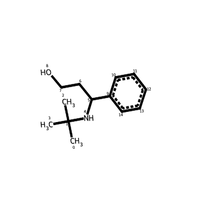 CC(C)(C)NC(CCO)c1ccccc1